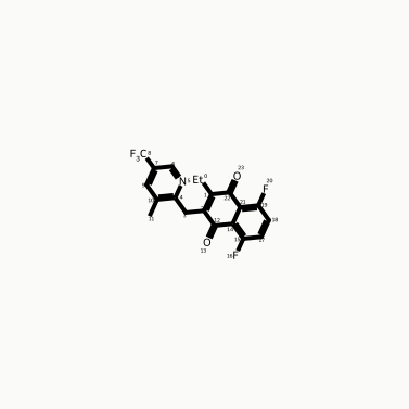 CCC1=C(Cc2ncc(C(F)(F)F)cc2C)C(=O)c2c(F)ccc(F)c2C1=O